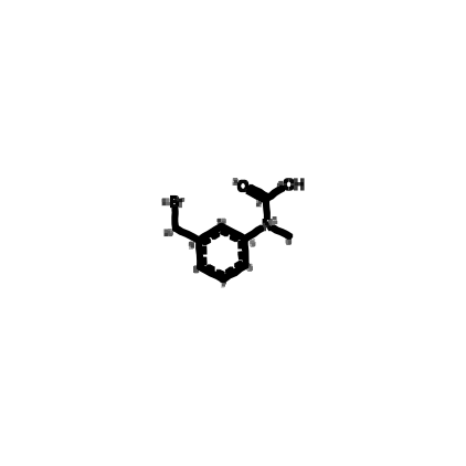 CN(C(=O)O)c1cccc(CBr)c1